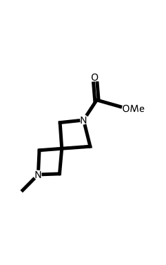 COC(=O)N1CC2(CN(C)C2)C1